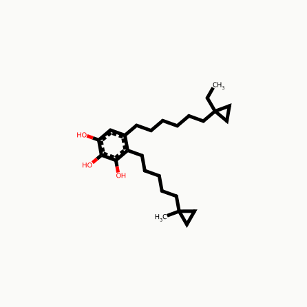 CCC1(CCCCCCc2cc(O)c(O)c(O)c2CCCCCC2(C)CC2)CC1